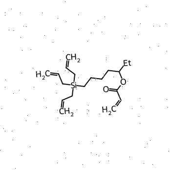 C=CC[Si](CC=C)(CC=C)CCCCC(CC)OC(=O)C=C